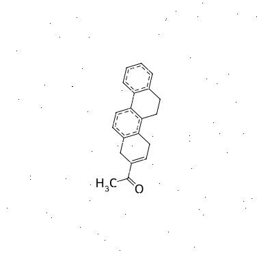 CC(=O)C1=CCc2c(ccc3c2CCc2ccccc2-3)C1